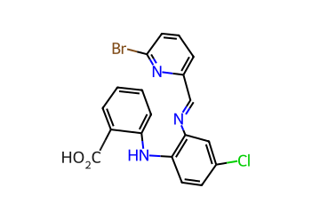 O=C(O)c1ccccc1Nc1ccc(Cl)cc1N=Cc1cccc(Br)n1